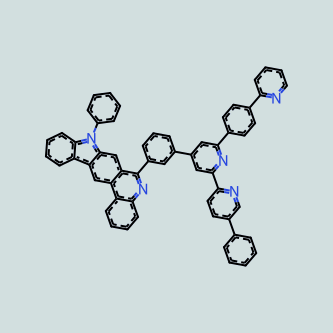 c1ccc(-c2ccc(-c3cc(-c4cccc(-c5nc6ccccc6c6cc7c8ccccc8n(-c8ccccc8)c7cc56)c4)cc(-c4ccc(-c5ccccn5)cc4)n3)nc2)cc1